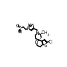 C[C@H]1C[C@@]2(CCN1Cc1cn(CC[SH](=O)=O)nn1)OCCc1sc(Cl)cc12